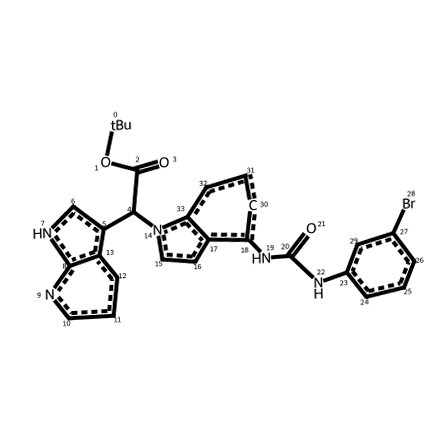 CC(C)(C)OC(=O)C(c1c[nH]c2ncccc12)n1ccc2c(NC(=O)Nc3cccc(Br)c3)cccc21